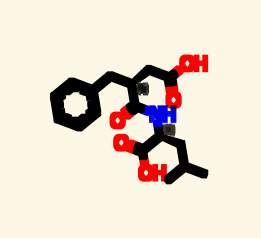 CC(C)C[C@H](NC(=O)[C@H](CC(=O)O)Cc1ccccc1)C(=O)O